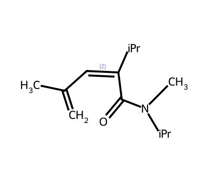 C=C(C)/C=C(\C(=O)N(C)C(C)C)C(C)C